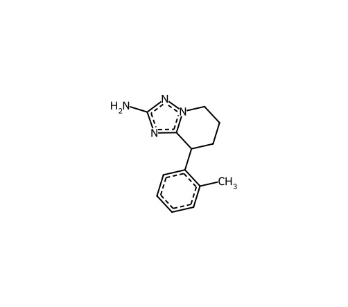 Cc1ccccc1C1CCCn2nc(N)nc21